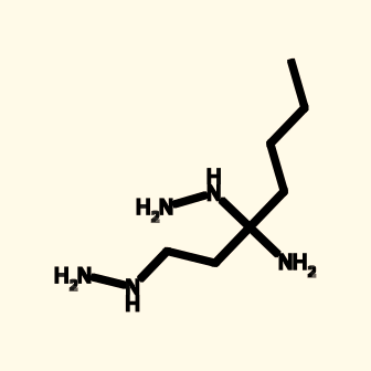 CCCCC(N)(CCNN)NN